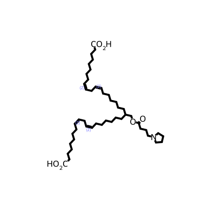 O=C(O)CCCCCCC/C=C\C/C=C\CCCCCCC(CCCCCC/C=C\C/C=C\CCCCCCCC(=O)O)COC(=O)CCCN1CCCC1